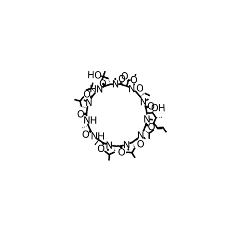 C/C=C/C[C@@H](C)[C@@H](O)[C@H]1C(=O)N(C)[C@@H](CC)C(=O)N(C)C(C(=O)OC)C(=O)N(C)[C@@H](CC(C)(C)O)C(=O)N[C@@H](C(C)C)C(=O)N(C)[C@@H](CC(C)C)C(=O)N[C@@H](C)C(=O)N[C@H](C)C(=O)N(C)[C@@H](CC(C)C)C(=O)N(C)[C@@H](CC(C)C)C(=O)N(C)[C@@H](C(C)C)C(=O)N1C